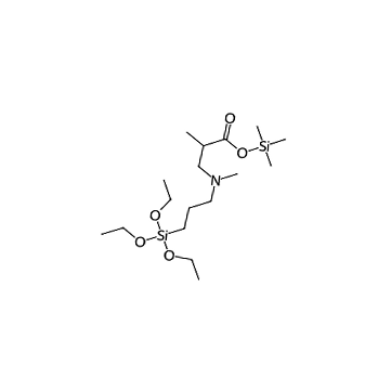 CCO[Si](CCCN(C)CC(C)C(=O)O[Si](C)(C)C)(OCC)OCC